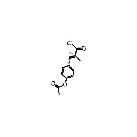 CC(=O)Oc1ccc(/C=C(\C)C(=O)Cl)cc1